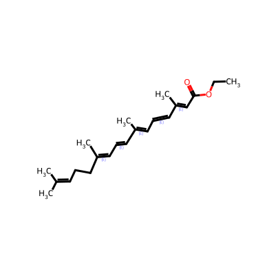 CCOC(=O)/C=C(C)/C=C/C=C(C)/C=C/C=C(\C)CCC=C(C)C